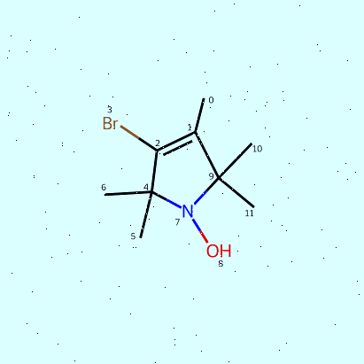 CC1=C(Br)C(C)(C)N(O)C1(C)C